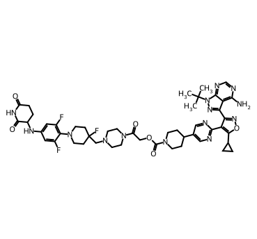 CC(C)(C)n1nc(-c2noc(C3CC3)c2-c2ncc(C3CCN(C(=O)OCC(=O)N4CCN(CC5(F)CCN(c6c(F)cc(NC7CCC(=O)NC7=O)cc6F)CC5)CC4)CC3)cn2)c2c(N)ncnc21